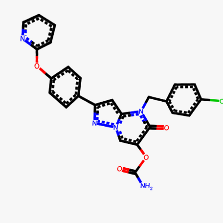 NC(=O)Oc1cn2nc(-c3ccc(Oc4ccccn4)cc3)cc2n(Cc2ccc(Cl)cc2)c1=O